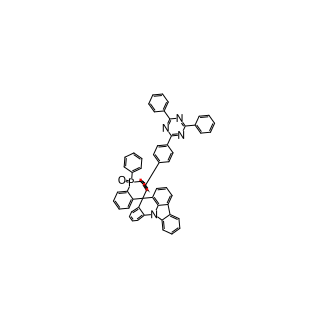 O=P1(c2ccccc2)c2ccccc2C2(c3ccccc3-n3c4ccccc4c4cccc2c43)c2ccc(-c3ccc(-c4nc(-c5ccccc5)nc(-c5ccccc5)n4)cc3)cc21